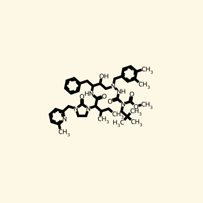 CCC(C)C(C(=O)NC(Cc1ccccc1)C(O)CN(Cc1ccc(C)c(C)c1)NC(=O)N(CC(C)(C)C)C(=O)OC)N1CCN(Cc2cccc(C)n2)C1=O